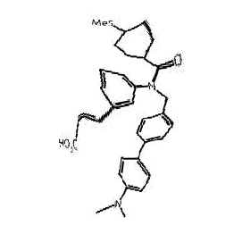 CSC1CCC(C(=O)N(Cc2ccc(-c3ccc(N(C)C)cc3)cc2)c2cccc(/C=C/C(=O)O)c2)CC1